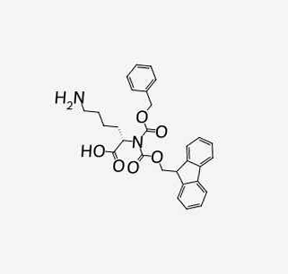 NCCCC[C@@H](C(=O)O)N(C(=O)OCc1ccccc1)C(=O)OCC1c2ccccc2-c2ccccc21